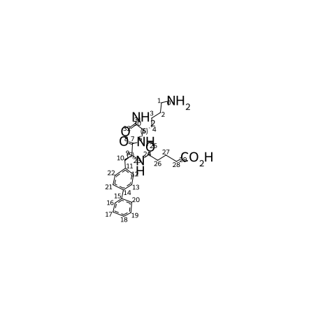 NCCCC[C@H](NC(=O)[C@H](Cc1ccc(-c2ccccc2)cc1)NC(=O)CCCC(=O)O)C(N)=O